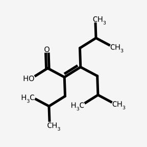 CC(C)CC(CC(C)C)=C(CC(C)C)C(=O)O